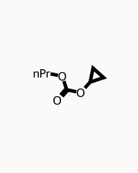 CCCOC(=O)OC1CC1